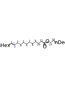 CCCCCC/C=C/CCCCCCCCCC(=O)OCCCCCCCCCCCC